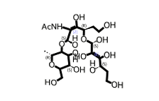 CC(=O)N/C(=C(\O)[C@@H](CCO)O[C@H](O)/C(O)=C(\O)[C@@H](O)CCO)[C@@H](O)OC1C(O)[C@H](O)C(CO)O[C@@H]1C